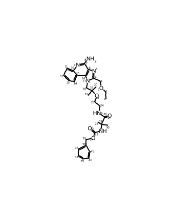 CCOCc1nc2c(N)nc3ccccc3c2n1CC(C)(C)OCCNC(=O)C(C)(C)NC(=O)OCc1ccccc1